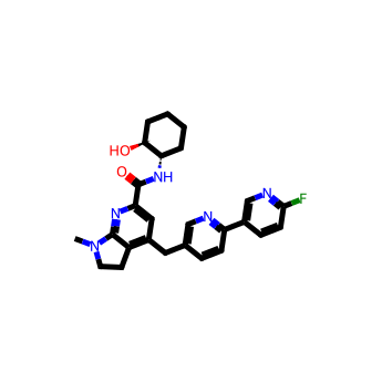 CN1CCc2c(Cc3ccc(-c4ccc(F)nc4)nc3)cc(C(=O)N[C@H]3CCCC[C@@H]3O)nc21